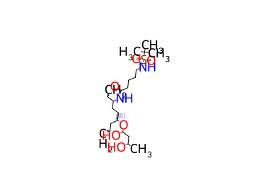 C=CC/C(=C\CC(C=C)NC(=O)CCCCNS(=O)(=O)C(C)(C)C)OC(O)CC(C)O